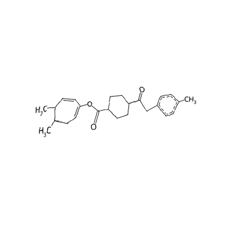 Cc1ccc(CC(=O)C2CCC(C(=O)OC3=CCC(C)C(C)C=C3)CC2)cc1